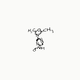 C[C@@H]1CN(c2cnc(NC=O)cn2)C[C@H](C)O1